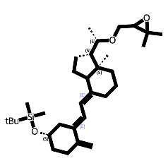 C=C1CC[C@H](O[Si](C)(C)C(C)(C)C)C/C1=C\C=C1/CCC[C@@]2(C)C1CC[C@@H]2[C@H](C)OCC1OC1(C)C